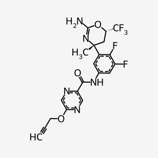 C#CCOc1cnc(C(=O)Nc2cc(F)c(F)c([C@@]3(C)C[C@@H](C(F)(F)F)OC(N)=N3)c2)cn1